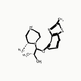 Cc1nc2cc(OC([C@@H](C)O)N3CCNC[C@H]3C)ccc2s1